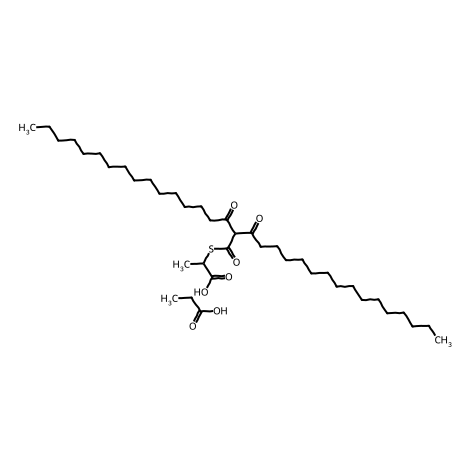 CCC(=O)O.CCCCCCCCCCCCCCCC(=O)C(C(=O)CCCCCCCCCCCCCCC)C(=O)SC(C)C(=O)O